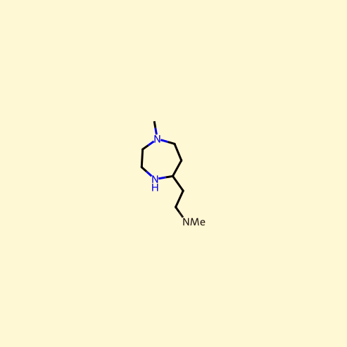 CNCCC1CCN(C)CCN1